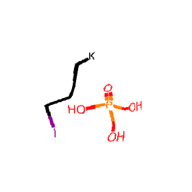 O=P(O)(O)O.[K][CH2]CCI